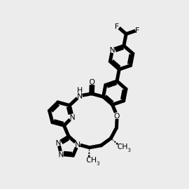 C[C@H]1COc2ccc(-c3ccc(C(F)F)nc3)cc2C(=O)Nc2cccc(n2)-c2nncn2[C@@H](C)C1